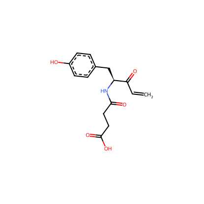 C=CC(=O)[C@H](Cc1ccc(O)cc1)NC(=O)CCC(=O)O